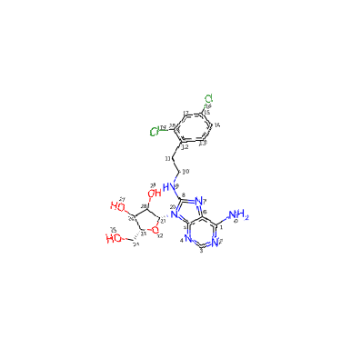 Nc1ncnc2c1nc(NCCc1ccc(Cl)cc1Cl)n2[C@@H]1O[C@H](CO)C(O)C1O